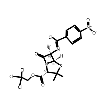 CC1(C)S[C@H]2N(C(=O)[C@@]2(Br)N=C(Cl)c2ccc([N+](=O)[O-])cc2)[C@H]1C(=O)OCC(Cl)(Cl)Cl